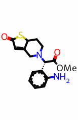 COC(=O)[C@H](c1ccccc1N)N1CCC2SC(=O)C=C2C1